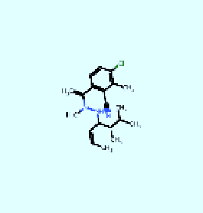 C=C(c1ccc(Cl)c(C)c1C#N)N(C)NC(/C=C\C)[C@H](C)C(C)C